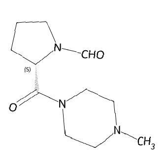 CN1CCN(C(=O)[C@@H]2CCCN2C=O)CC1